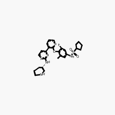 Cc1cc(NS(=O)(=O)C2CCCC2)cc(F)c1Oc1ncccc1-c1ccnc(N[C@H]2CCCNC2)n1